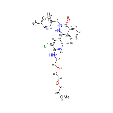 C=C(C#N)/C=C\C(=C)Cn1nc(-c2cc(Cl)c(NCCOCCOCCOC)nc2F)c2ccccc2c1=O